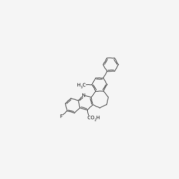 Cc1cc(-c2ccccc2)cc2c1-c1nc3ccc(F)cc3c(C(=O)O)c1CCC2